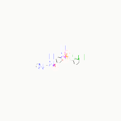 O=C(NCCCN1CCCC1)c1ccc(NS(=O)(=O)CCc2cccc(Cl)c2Cl)cc1